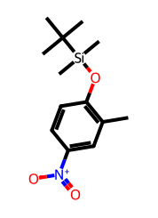 Cc1cc([N+](=O)[O-])ccc1O[Si](C)(C)C(C)(C)C